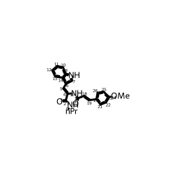 CCCNC(=O)/C(=C/c1c[nH]c2ccccc12)NC(=O)/C=C/c1ccc(OC)cc1